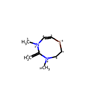 C=C1N(C)/C=C\SCCN1C